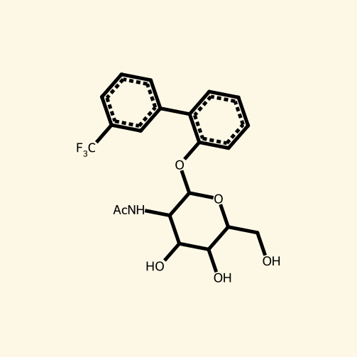 CC(=O)NC1C(Oc2ccccc2-c2cccc(C(F)(F)F)c2)OC(CO)C(O)C1O